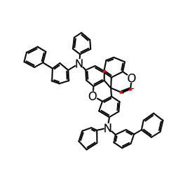 c1ccc(-c2cccc(N(c3ccccc3)c3ccc4c(c3)Oc3cc(N(c5ccccc5)c5cccc(-c6ccccc6)c5)ccc3C43c4ccccc4Oc4ccccc43)c2)cc1